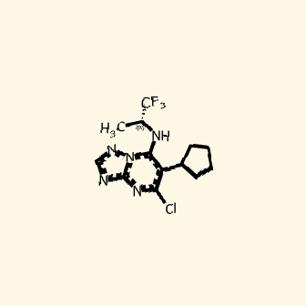 C[C@@H](Nc1c(C2CCCC2)c(Cl)nc2ncnn12)C(F)(F)F